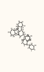 c1ccc(-c2ccnc3c(-c4cc5c6ccccc6n6c7ccccc7c(c4)c56)ncnc23)cc1